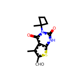 Cc1c(C=O)sc2[nH]c(=O)n(C3(C)CCC3)c(=O)c12